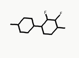 CC1CCC(C2CCC(C)C(F)C2F)CC1